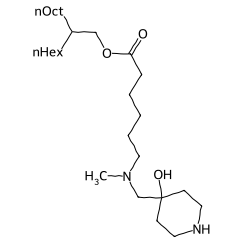 CCCCCCCCC(CCCCCC)COC(=O)CCCCCN(C)CC1(O)CCNCC1